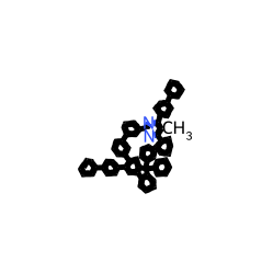 Cc1c(-c2ccccc2)nc(-c2cccc(-c3cccc(-c4cc5c(cc4-c4ccc(-c6ccccc6)cc4)-c4ccccc4C5(c4ccccc4)c4ccccc4)c3)c2)nc1-c1ccc(-c2ccccc2)cc1